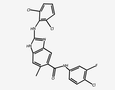 Cc1cc2[nH]c(Nc3c(Cl)cccc3Cl)nc2cc1C(=O)Nc1ccc(Cl)c(F)c1